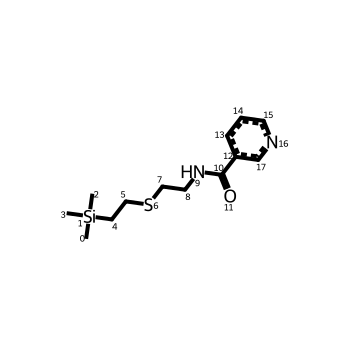 C[Si](C)(C)CCSCCNC(=O)c1cccnc1